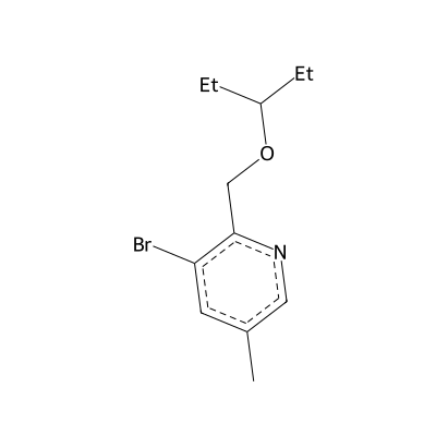 CCC(CC)OCc1ncc(C)cc1Br